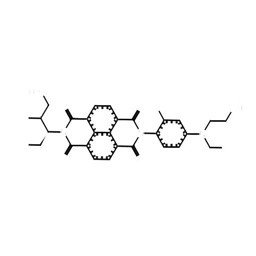 CCC(C)[C@H](CO)N1C(=O)c2ccc3c4c(ccc(c24)C1=O)C(=O)N(c1ccc(N(CC)CCO)cc1C)C3=O